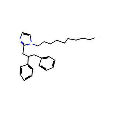 CCCCCCCCCCCCCCCCCCCn1ccnc1CC(Cc1ccccc1)c1ccccc1